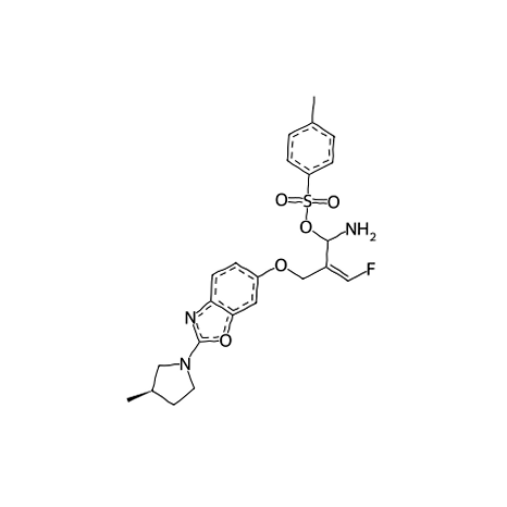 Cc1ccc(S(=O)(=O)OC(N)/C(=C\F)COc2ccc3nc(N4CC[C@@H](C)C4)oc3c2)cc1